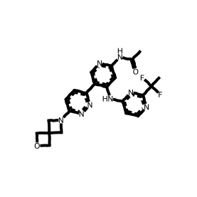 CC(=O)Nc1cc(Nc2ccnc(C(C)(F)F)n2)c(-c2ccc(N3CC4(COC4)C3)nn2)cn1